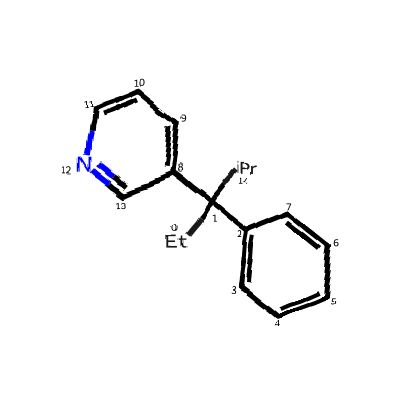 [CH2]CC(c1ccccc1)(c1cccnc1)C(C)C